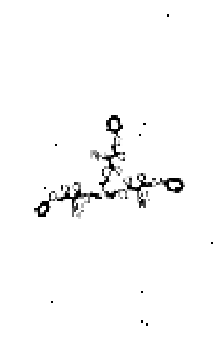 [N-]=[N+]=C(C(=O)COc1ccccc1)C(=O)OCCN(CCOC(=O)C(=[N+]=[N-])C(=O)COc1ccccc1)CCOC(=O)C(=[N+]=[N-])C(=O)COc1ccccc1